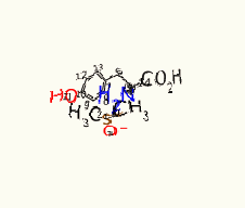 C[S+](C)[O-].N[C@@H](Cc1ccc(O)cc1)C(=O)O